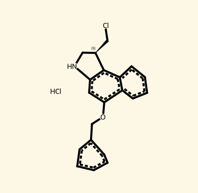 Cl.ClC[C@@H]1CNc2cc(OCc3ccccc3)c3ccccc3c21